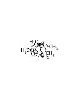 C=C/C=C(/C(=N)C(/C=C\C(=C)C)=C(C=C)C=C)C(CC=C)C1(C=CC)C/C1=C\C